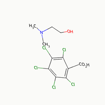 CN(C)CCO.O=C(O)c1c(Cl)c(Cl)c(Cl)c(Cl)c1Cl